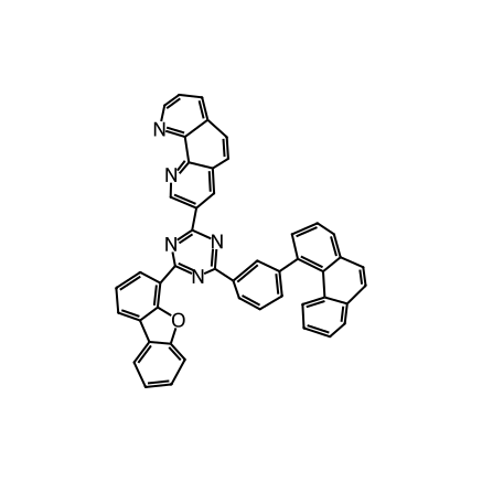 c1cc(-c2nc(-c3cnc4c(ccc5cccnc54)c3)nc(-c3cccc4c3oc3ccccc34)n2)cc(-c2cccc3ccc4ccccc4c23)c1